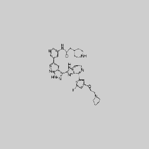 O=C(CC1CCNCC1)Nc1cncc(-c2cnc3[nH]nc(-c4nc5c(-c6cc(F)cc(OCCN7CCCC7)c6)nccc5[nH]4)c3c2)c1